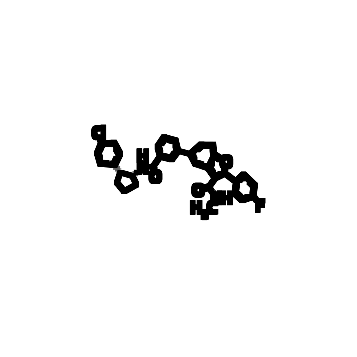 CNC(=O)c1c(-c2ccc(F)cc2)oc2ccc(-c3cccc(C(=O)N[C@@H]4CCC[C@@H]4c4ccc(Cl)cc4)c3)cc12